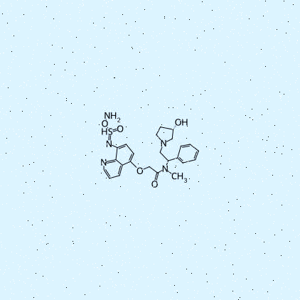 CN(C(=O)COc1ccc(N=[SH](=O)ON)c2ncccc12)C(CN1CC[C@H](O)C1)c1ccccc1